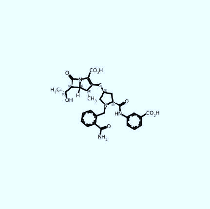 C[C@@H](O)[C@H]1C(=O)N2C(C(=O)O)=C(S[C@H]3C[C@@H](C(=O)Nc4cccc(C(=O)O)c4)N(Cc4ccccc4C(N)=O)C3)[C@H](C)[C@H]12